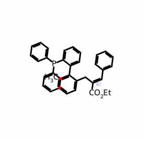 CCOC(=O)/C(=C/c1ccccc1)Cc1cccc(C)c1-c1ccccc1P(c1ccccc1)c1ccccc1